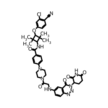 CC1(C)C(NC(=O)c2ccc(N3CCN(C(=O)CNc4ccc5nnn(C6CCC(=O)NC6=O)c(=O)c5c4)CC3)cc2)C(C)(C)C1Oc1ccc(C#N)c(Cl)c1